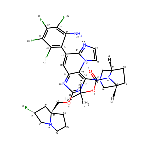 CC(C)(C)OC(=O)N1[C@@H]2CC[C@H]1CN(c1nc(OC[C@@]34CCCN3C[C@H](F)C4)nc3cc(-c4c(N)c(F)c(F)c(F)c4F)c4nccn4c13)C2